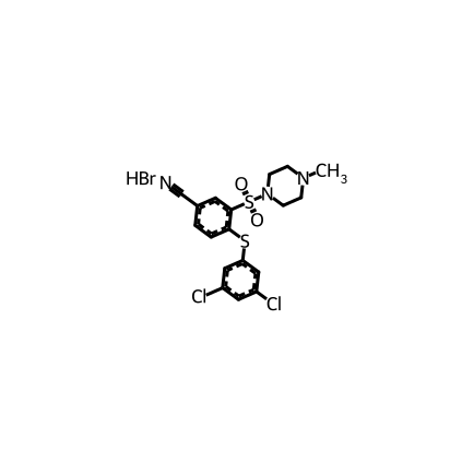 Br.CN1CCN(S(=O)(=O)c2cc(C#N)ccc2Sc2cc(Cl)cc(Cl)c2)CC1